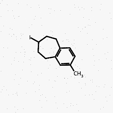 Cc1ccc2c(c1)CCC(I)CC2